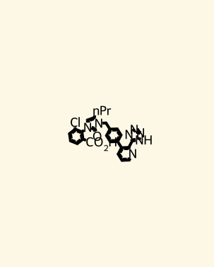 CCCc1cn(-c2c(Cl)cccc2C(=O)O)c(=O)n1Cc1ccc(-c2cccnc2-c2nnn[nH]2)cc1